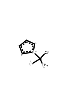 CC(Cl)(Cl)p1cccc1